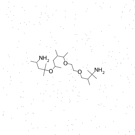 CC(N)CC(C)(C)OC(C)CC(C)C(C)OCCOCC(C)C(C)(C)N